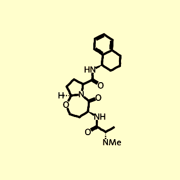 CN[C@@H](C)C(=O)N[C@H]1CCO[C@H]2CCC(C(=O)N[C@@H]3CCCc4ccccc43)N2C1=O